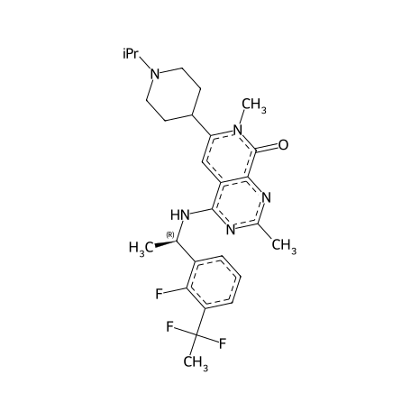 Cc1nc(N[C@H](C)c2cccc(C(C)(F)F)c2F)c2cc(C3CCN(C(C)C)CC3)n(C)c(=O)c2n1